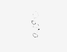 CC1(C)CN(C(=O)c2ccc(F)c(F)c2)C=Cc2c1ccn2[C]1CCCCCC1